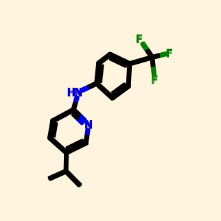 CC(C)c1ccc(Nc2ccc(C(F)(F)F)cc2)nc1